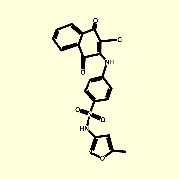 Cc1cc(NS(=O)(=O)c2ccc(NC3=C(Cl)C(=O)c4ccccc4C3=O)cc2)no1